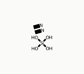 C#N.C#N.O[Si](O)(O)O